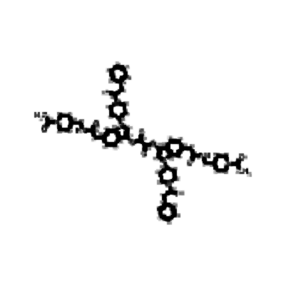 CC(=O)N1CCC(CNC(=O)Cc2ccc3c(OC(=O)C(=O)Oc4cn(C5CCN(C(F)Cc6ccccc6)CC5)c5cc(CC(=O)NCC6CCN(C(C)=O)CC6)ccc45)cn(C4CCN(C(F)Cc5ccccc5)CC4)c3c2)CC1